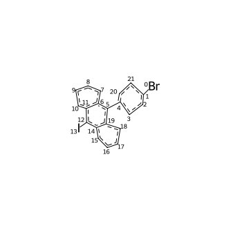 Brc1ccc(-c2c3ccccc3c(I)c3ccccc23)cc1